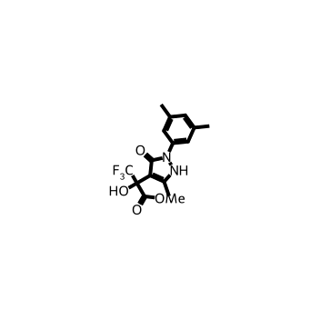 COC(=O)C(O)(c1c(C)[nH]n(-c2cc(C)cc(C)c2)c1=O)C(F)(F)F